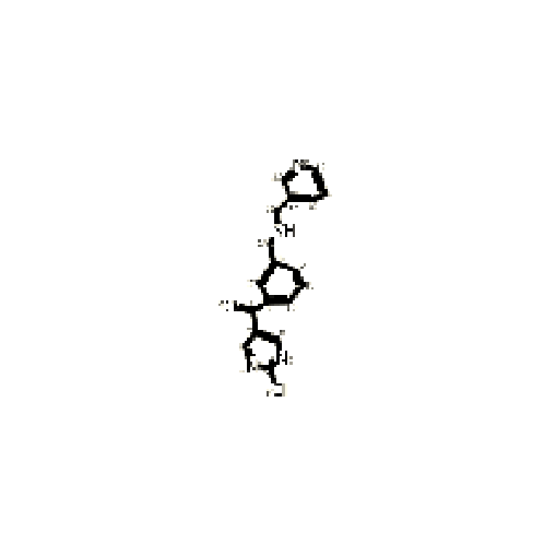 O=C(c1cnc(Cl)nc1)c1cccc(CNCc2cccnc2)c1